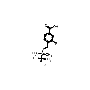 CC(C)(C)[Si](C)(C)OCc1ccc(C(=O)O)cc1F